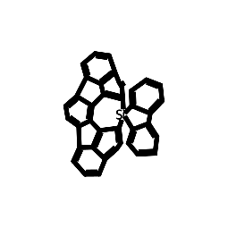 c1ccc2c(c1)-c1ccccc1[Si]21c2ccc3cccc4c5ccc6c7cccc8ccc1c(c87)c6c5c2c34